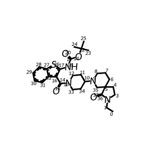 CCN1CCC2(CCCN(C3CCN(C(=O)c4c(NC(=O)OC(C)(C)C)sc5ccccc45)CC3)C2)C1=O